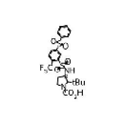 CC(C)(C)C1[C@@H](NS(=O)(=O)c2cc(S(=O)(=O)c3ccccc3)ccc2C(F)(F)F)CCN1C(=O)O